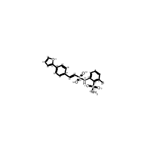 NS(=O)(=O)c1c(F)cccc1NS(=O)(=O)C=Cc1ccc(-c2ccco2)cc1